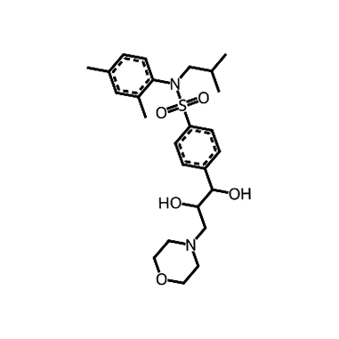 Cc1ccc(N(CC(C)C)S(=O)(=O)c2ccc(C(O)C(O)CN3CCOCC3)cc2)c(C)c1